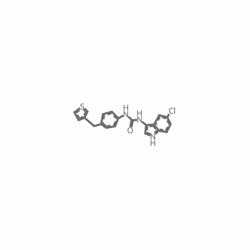 O=C(Nc1ccc(Cc2ccsc2)cc1)Nc1c[nH]c2ccc(Cl)cc12